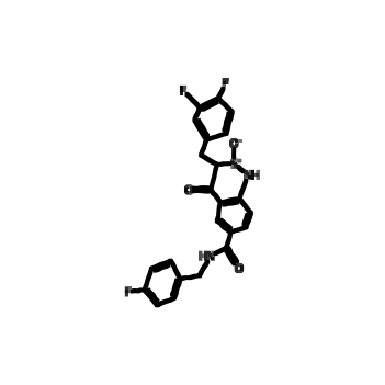 O=C(NCc1ccc(F)cc1)c1ccc2c(c1)C(=O)C(Cc1ccc(F)c(F)c1)[S+]([O-])N2